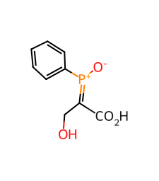 O=C(O)/C(CO)=[P+](\[O-])c1ccccc1